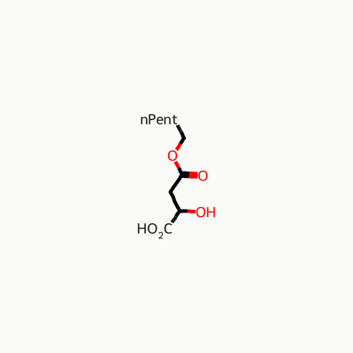 CCCCCCOC(=O)CC(O)C(=O)O